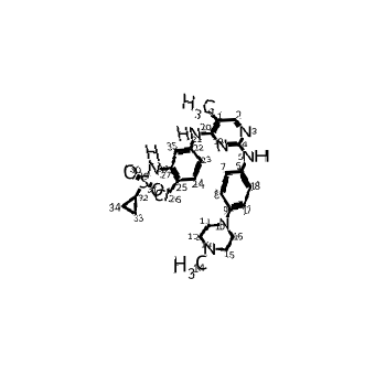 Cc1cnc(Nc2ccc(N3CCN(C)CC3)cc2)nc1Nc1ccc(Cl)c(NS(=O)(=O)C2CC2)c1